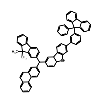 CC1(C)c2ccccc2-c2ccc(C(C3=CC4c5ccc(-c6cccc(C7(c8ccccc8)c8ccccc8-c8ccccc87)c6)cc5BC4C=C3)c3ccc4c(ccc5ccccc54)c3)cc21